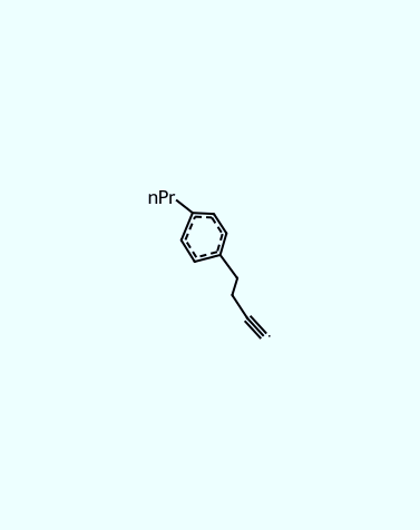 [C]#CCCc1ccc(CCC)cc1